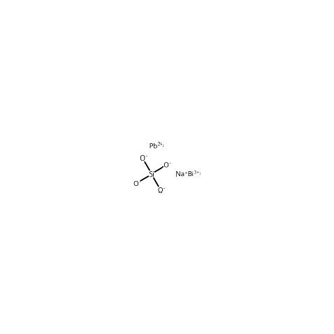 [Bi+3].[Na+].[O-][Si]([O-])([O-])[O-].[Pb+2]